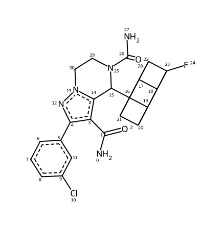 NC(=O)c1c(-c2cccc(Cl)c2)nn2c1C(C13C4C5C1C1C3C4C51F)N(C(N)=O)CC2